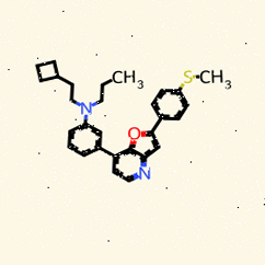 CCCN(CCC1CCC1)c1cccc(-c2ccnc3cc(-c4ccc(SC)cc4)oc23)c1